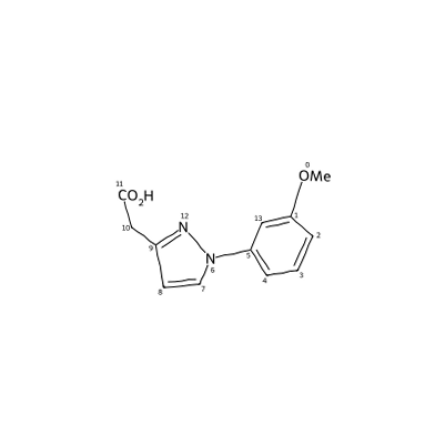 COc1cccc(-n2ccc(CC(=O)O)n2)c1